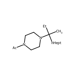 CCCCCCCC(C)(CC)N1CCN(C(C)=O)CC1